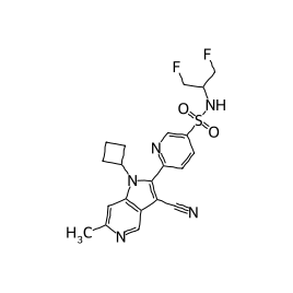 Cc1cc2c(cn1)c(C#N)c(-c1ccc(S(=O)(=O)NC(CF)CF)cn1)n2C1CCC1